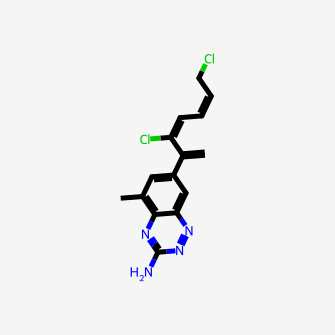 C=C(/C(Cl)=C\C=C/CCl)c1cc(C)c2nc(N)nnc2c1